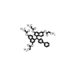 C=CC(=O)Oc1ccc2c(C(c3ccc(-c4ccccc4)cc3)c3cc(OC(=O)C=C)cc4cc(OC(=O)C=C)ccc34)cc(OC(=O)C=C)cc2c1